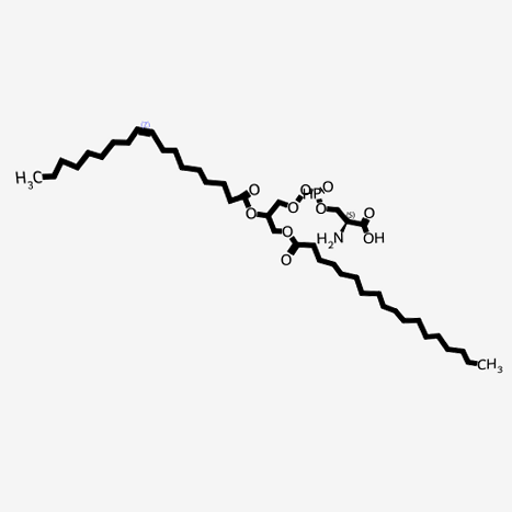 CCCCCCCC/C=C\CCCCCCCC(=O)OC(COO[PH](=O)OC[C@H](N)C(=O)O)COC(=O)CCCCCCCCCCCCCCCCC